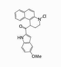 COc1ccc2[nH]c(C(=O)C3CCN(Cl)c4ccc5ccccc5c43)cc2c1